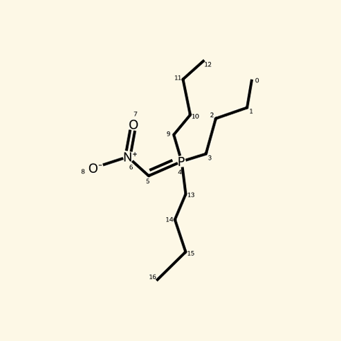 CCCCP(=C[N+](=O)[O-])(CCCC)CCCC